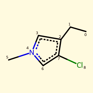 CCc1cn(C)cc1Cl